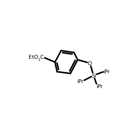 CCOC(=O)c1ccc(O[Si](C(C)C)(C(C)C)C(C)C)cc1